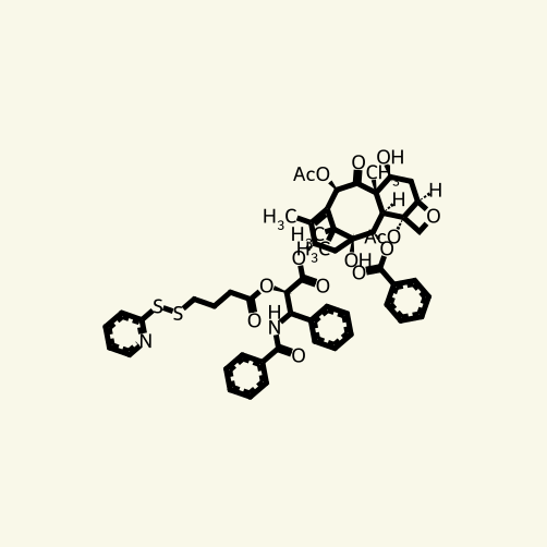 CC(=O)O[C@H]1C(=O)[C@@]2(C)[C@H]([C@H](OC(=O)c3ccccc3)[C@]3(O)C[C@H](OC(=O)[C@H](OC(=O)CCCSSc4ccccn4)C(NC(=O)c4ccccc4)c4ccccc4)C(C)=C1C3(C)C)[C@]1(OC(C)=O)CO[C@@H]1C[C@@H]2O